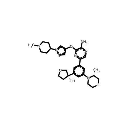 C[C@@H]1COCCN1c1cc(-c2cnc(N)c(Oc3cnn(C4CCN(C)CC4)c3)n2)cc([C@@]2(O)CCOC2)c1